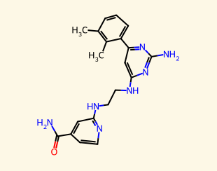 Cc1cccc(-c2cc(NCCNc3cc(C(N)=O)ccn3)nc(N)n2)c1C